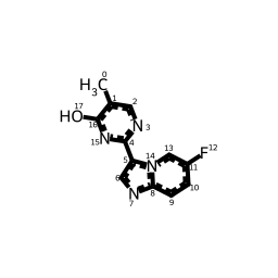 Cc1cnc(-c2cnc3ccc(F)cn23)nc1O